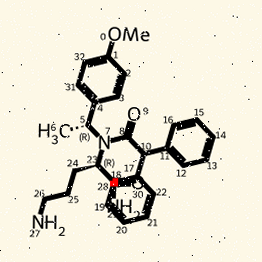 COc1ccc([C@@H](C)N(C(=O)C(c2ccccc2)c2ccccc2)[C@H](CCCN)C(N)=O)cc1